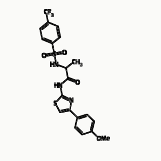 COc1ccc(-c2csc(NC(=O)C(C)NS(=O)(=O)c3ccc(C(F)(F)F)cc3)n2)cc1